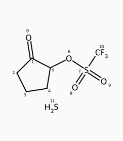 O=C1CCCC1OS(=O)(=O)C(F)(F)F.S